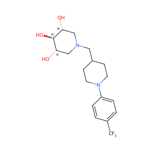 O[C@H]1[C@H](O)CN(CC2CCN(c3ccc(C(F)(F)F)cc3)CC2)C[C@@H]1O